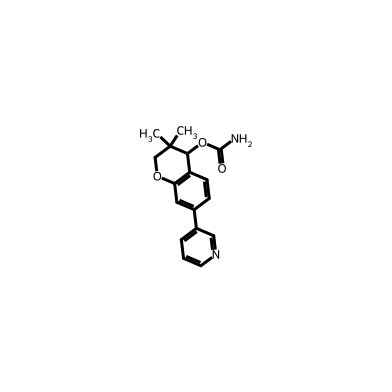 CC1(C)COc2cc(-c3cccnc3)ccc2C1OC(N)=O